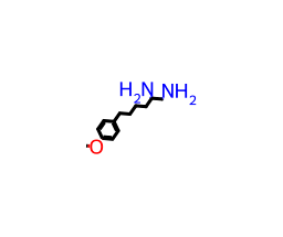 COc1ccc(CCCCC(N)CN)cc1